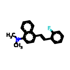 CN(C)c1ccc(/C=C/c2ccccc2F)c2ccccc12